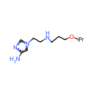 CC(C)OCCCNCCn1cnc(N)c1